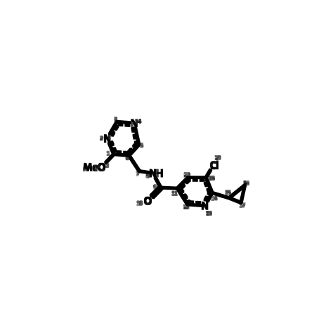 COc1ncncc1CNC(=O)c1cnc(C2CC2)c(Cl)c1